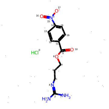 Cl.NC(N)=NCCCOC(=O)c1ccc([N+](=O)[O-])cc1